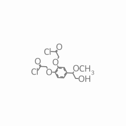 COC(CO)c1ccc(OCC(=O)Cl)c(OCC(=O)Cl)c1